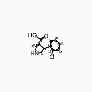 O=C(O)C1=NNCC1c1ccccc1Cl